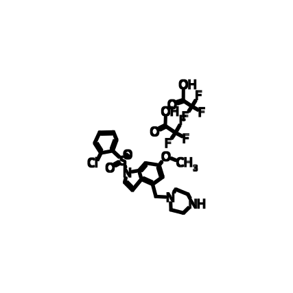 COc1cc(CN2CCNCC2)c2ccn(S(=O)(=O)c3ccccc3Cl)c2c1.O=C(O)C(F)(F)F.O=C(O)C(F)(F)F